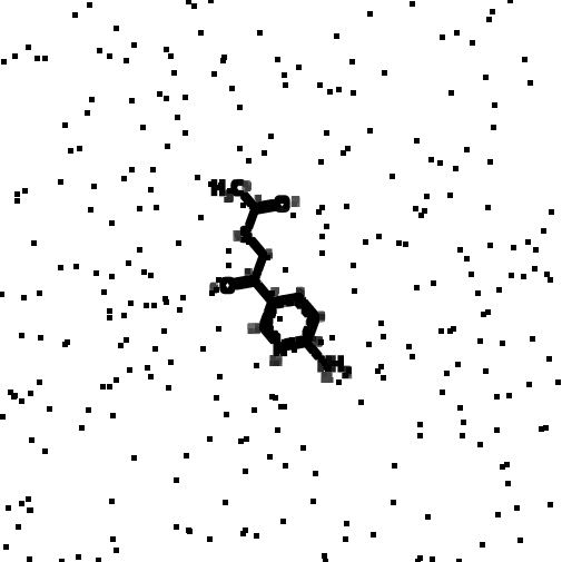 CC(=O)SCC(=O)c1ccc(N)nc1